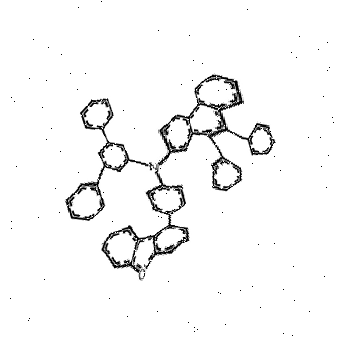 c1ccc(-c2cc(-c3ccccc3)cc(N(c3ccc(-c4cccc5oc6ccccc6c45)cc3)c3ccc4c(c3)c(-c3ccccc3)c(-c3ccccc3)c3ccccc34)c2)cc1